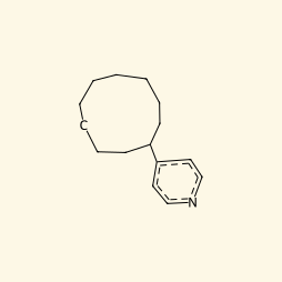 c1cc(C2CCCCCCCCC2)ccn1